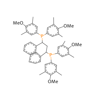 COc1c(C)cc(P(c2cc(C)c(OC)c(C)c2)C(CC(c2ccccc2)P(c2cc(C)c(OC)c(C)c2)c2cc(C)c(OC)c(C)c2)c2ccccc2)cc1C